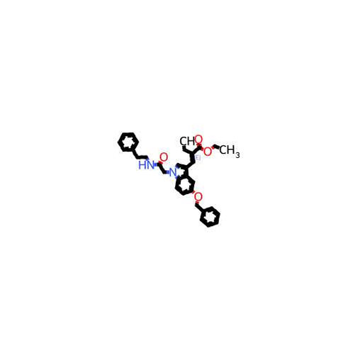 CCOC(=O)/C(=C/c1cn(CC(=O)NCCc2ccccc2)c2ccc(OCc3ccccc3)cc12)CC